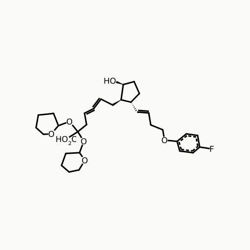 O=C(O)C(CC=C=CC[C@H]1[C@@H](O)CC[C@@H]1/C=C/CCOc1ccc(F)cc1)(OC1CCCCO1)OC1CCCCO1